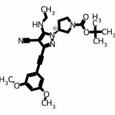 CCNc1c(C#N)c(C#Cc2cc(OC)cc(OC)c2)nn1[C@H]1CCN(C(=O)OC(C)(C)C)C1